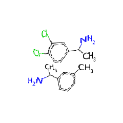 CC(N)c1ccc(Cl)c(Cl)c1.Cc1cccc(C(C)N)c1